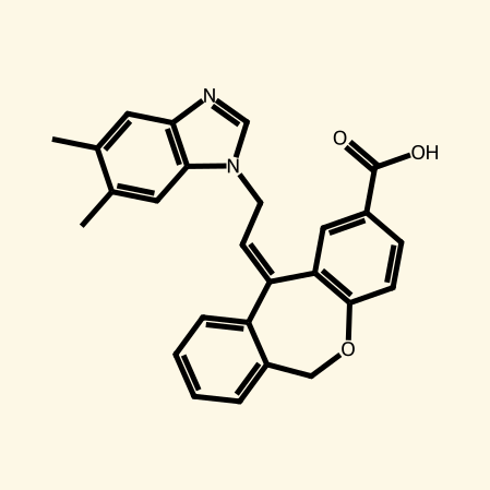 Cc1cc2ncn(C/C=C3/c4ccccc4COc4ccc(C(=O)O)cc43)c2cc1C